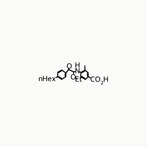 CCCCCCc1ccc(C(=O)C(Nc2ccc(C(=O)O)cc2C)OCC)cc1